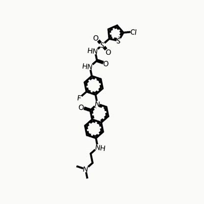 CN(C)CCNc1ccc2c(=O)n(-c3ccc(NC(=O)NS(=O)(=O)c4ccc(Cl)s4)cc3F)ccc2c1